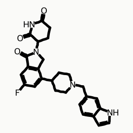 O=C1CCC(N2Cc3c(cc(F)cc3C3CCN(Cc4ccc5cc[nH]c5c4)CC3)C2=O)C(=O)N1